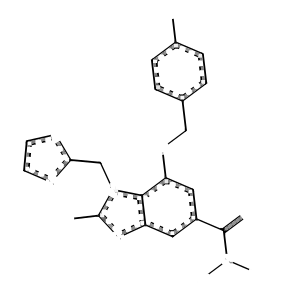 Cc1nc2cc(C(=O)N(C)C)cc(OCc3ccc(F)cc3)c2n1Cc1nccs1